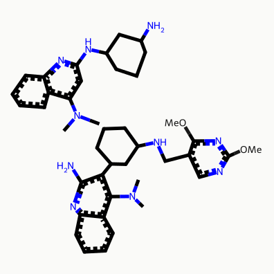 CN(C)c1cc(NC2CCCC(N)C2)nc2ccccc12.COc1ncc(CNC2CCCC(c3c(N)nc4ccccc4c3N(C)C)C2)c(OC)n1